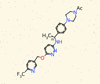 CC(=O)N1CCN(c2ccc([C@H](C)Nc3ccc(OCc4ccc(C(F)(F)F)nc4)nn3)cc2)CC1